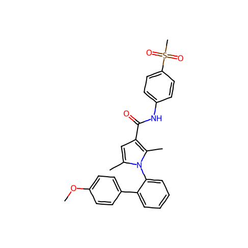 COc1ccc(-c2ccccc2-n2c(C)cc(C(=O)Nc3ccc(S(C)(=O)=O)cc3)c2C)cc1